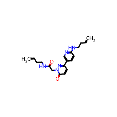 C=CCCNC(=O)Cn1nc(-c2ccc(NCCC=C)nc2)ccc1=O